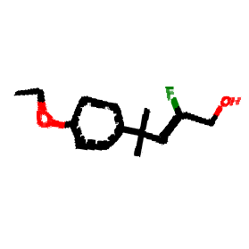 CCOc1ccc(C(C)(C)C=C(F)CO)cc1